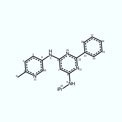 Cc1ccc(Nc2cc(NC(C)C)nc(-c3ccccc3)n2)cn1